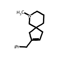 CC(C)CC1=CCC2(CCCN(C)C2)C1